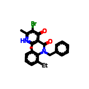 CCc1cccc(C)c1N(Cc1ccccc1)C(=O)c1c(C)[nH]c(C)c(Br)c1=O